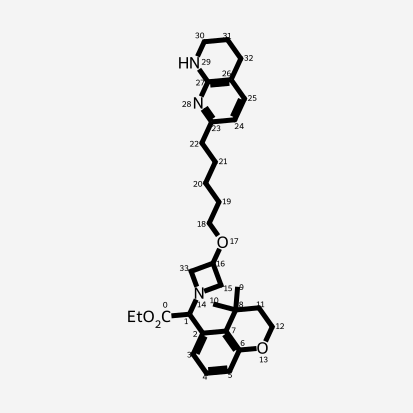 CCOC(=O)C(c1cccc2c1C(C)(C)CCO2)N1CC(OCCCCCc2ccc3c(n2)NCCC3)C1